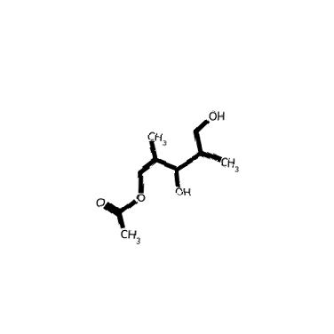 CC(=O)OCC(C)C(O)C(C)CO